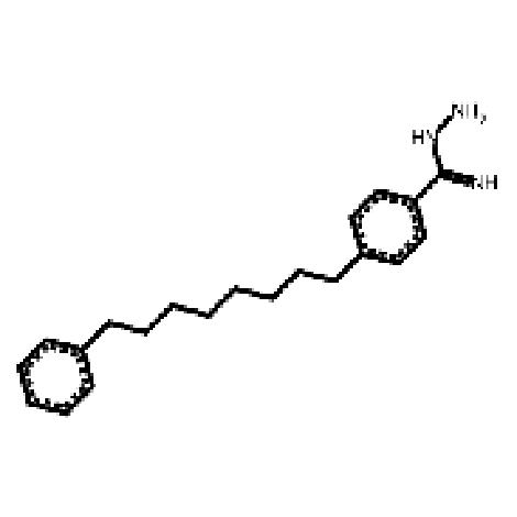 N=C(NN)c1ccc(CCCCCCCCc2ccccc2)cc1